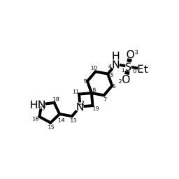 CCS(=O)(=O)NC1CCC2(CC1)CN(CC1CCNC1)C2